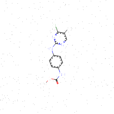 CC(C)(C)OC(=O)Nc1ccc(Nc2ncc(C(F)(F)F)c(Cl)n2)cc1